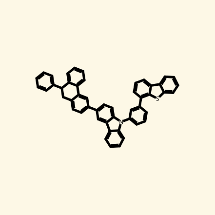 c1ccc(C2Cc3ccc(-c4ccc5c(c4)c4ccccc4n5-c4cccc(-c5cccc6c5sc5ccccc56)c4)cc3-c3ccccc32)cc1